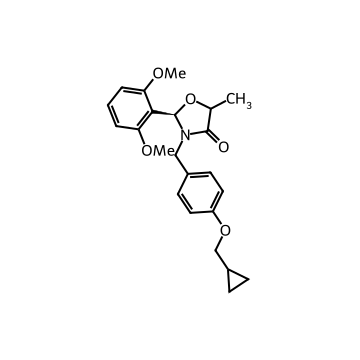 COc1cccc(OC)c1[C@H]1OC(C)C(=O)N1Cc1ccc(OCC2CC2)cc1